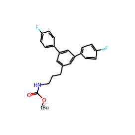 CC(C)(C)OC(=O)NCCCc1cc(-c2ccc(F)cc2)cc(-c2ccc(F)cc2)c1